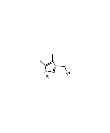 Cc1sc[n+](CC#N)c1C.[Br-]